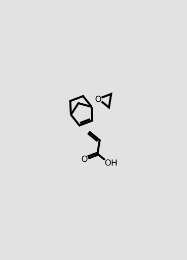 C1=CC2CCC1C2.C1CO1.C=CC(=O)O